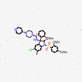 COc1ccc(S(=O)(=O)N2C(=O)C(NC(=O)N3CCN(c4ccncc4)CC3)(c3ccccc3OC)c3cc(Cl)c(C)cc32)c(OC)c1